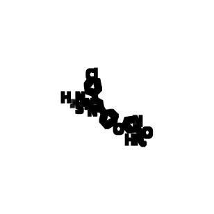 CNC(=O)c1cc(Oc2ccc(C3=NN(C(N)=S)C(c4ccc(Cl)cc4)C3)cc2)ccn1